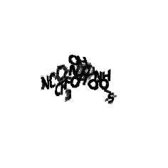 C[C@]12O[C@](C)(C[C@H]1NC(=O)OCCS(C)(C)C)[C@H]1C(=O)N(c3ccc(C#N)c(C(F)(F)F)c3F)C(=O)[C@H]12